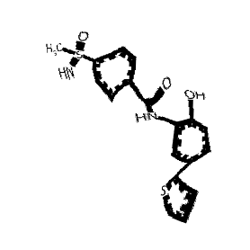 CS(=N)(=O)c1ccc(C(=O)Nc2cc(-c3cccs3)ccc2O)cc1